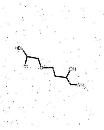 CCCCC(CC)COCCC(O)CN